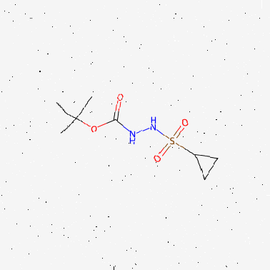 CC(C)(C)OC(=O)NNS(=O)(=O)C1CC1